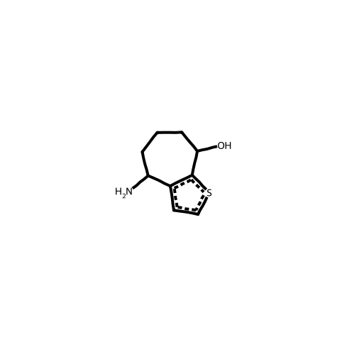 NC1CCCC(O)c2sccc21